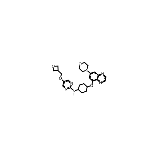 c1cnc2c(OC3CCC(Nc4ncc(OCC5COC5)cn4)CC3)cc(N3CCOCC3)cc2n1